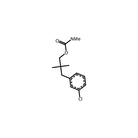 CNC(=O)OCC(C)(C)Cc1cccc(Cl)c1